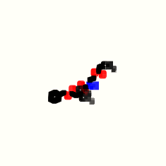 C=CC(=O)OCCNC(=O)OC(C)(C)CC(=O)OCc1ccccc1